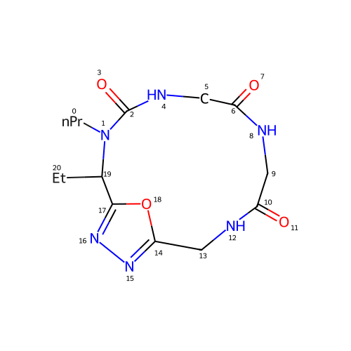 CCCN1C(=O)NCC(=O)NCC(=O)NCc2nnc(o2)C1CC